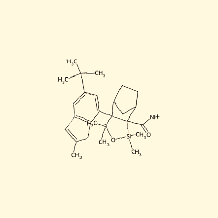 CC1=Cc2cc(C(C)(C)C)cc(C34C5CCC(C5)C3(C([NH])=O)[Si](C)(C)O[Si]4(C)C)c2C1